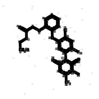 CCOC(=O)COC(=O)COc1ncccc1Oc1nc(-n2c(=O)cc(C(F)(F)F)n(C)c2=O)c(F)cc1Cl